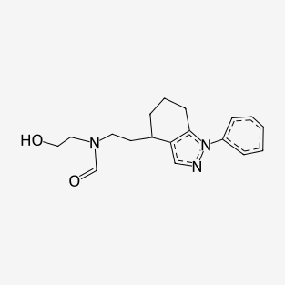 O=CN(CCO)CCC1CCCc2c1cnn2-c1ccccc1